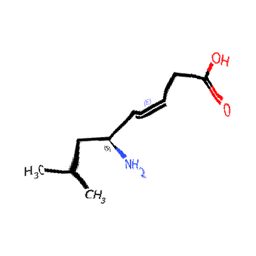 CC(C)C[C@H](N)/C=C/CC(=O)O